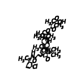 CC(C)C1=C2[C@H]3CC[C@@H]4[C@@]5(C)CC[C@H](OC(=O)CC(C)(C)C(=O)O)C(C)(C)[C@@H]5CC[C@@]4(C)[C@]3(C)CC[C@@]2(C=CC(=O)N[C@@H](C)c2cccc(Cl)c2)CC1=O